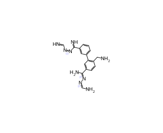 N=C/N=N\C(=N)c1cccc(-c2cc(/C(N)=N/N=C\N)ccc2CN)c1